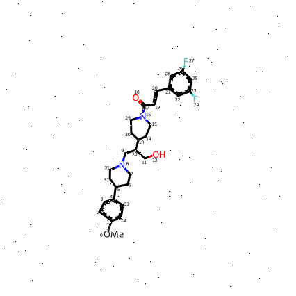 COc1ccc(C2CCN(CC(CO)C3CCN(C(=O)/C=C/c4cc(F)cc(F)c4)CC3)CC2)cc1